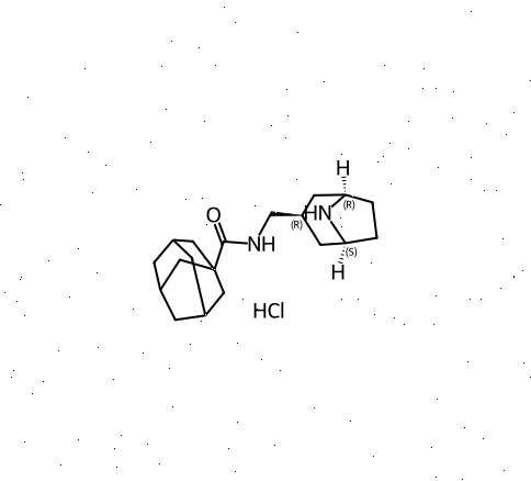 Cl.O=C(NC[C@H]1C[C@H]2CC[C@@H](C1)N2)C12CC3CC(CC(C3)C1)C2